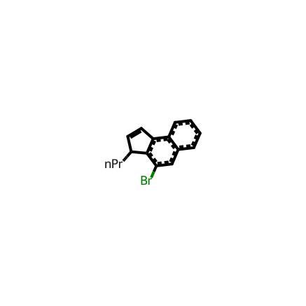 CCCC1C=Cc2c1c(Br)cc1ccccc21